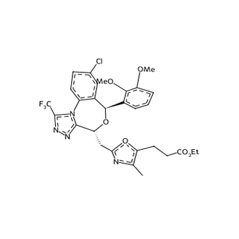 CCOC(=O)CCc1oc(C[C@H]2O[C@H](c3cccc(OC)c3OC)c3cc(Cl)ccc3-n3c2nnc3C(F)(F)F)nc1C